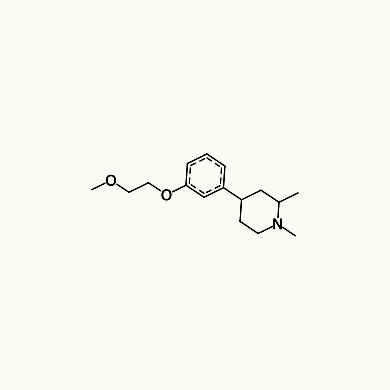 COCCOc1cccc(C2CCN(C)C(C)C2)c1